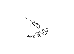 O=C(CC1CCCCC1)Nc1cc(-c2c(-c3ccc(F)cc3)nn3c2CNCC3)ccn1